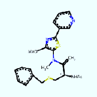 C=C([C@H](CSCc1ccccc1)NC(C)=O)N(C)c1sc(-c2cccnc2)nc1OC